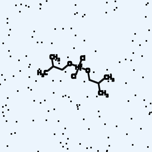 CC(C)C[O][Hf]([Cl])([Cl])[O]CC(C)C